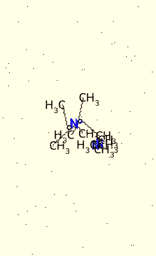 CCCCCCCCCCCc1cc(CCCCCCCCCCC)cc(C2=C(CCCC)C(CCCC)=C(c3cc(CCCCCCCCCCC)cc(CCCCCCCCCCC)c3)[N+]2=[N-])c1.CC[N](C)[Ni][N](C)CC